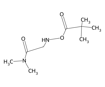 CN(C)C(=O)CNOC(=O)C(C)(C)C